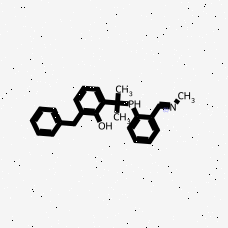 C/N=C/c1ccccc1PC(C)(C)c1cccc(Cc2ccccc2)c1O